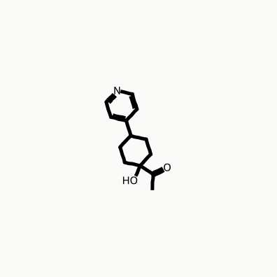 CC(=O)C1(O)CCC(c2ccncc2)CC1